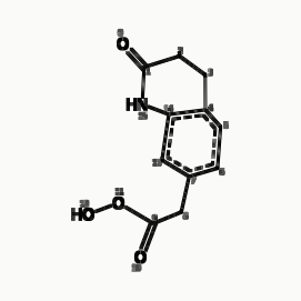 O=C1CCc2ccc(CC(=O)OO)cc2N1